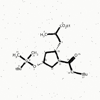 CCOC(=O)C(C)C[C@H]1C[C@@H](O[Si](C)(C)C(C)(C)C)CN1C(=O)OC(C)(C)C